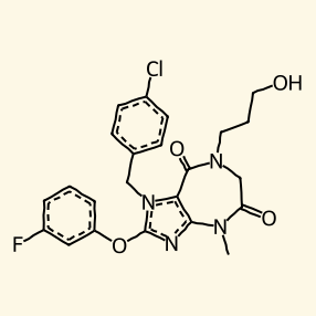 CN1C(=O)CN(CCCO)C(=O)c2c1nc(Oc1cccc(F)c1)n2Cc1ccc(Cl)cc1